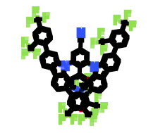 N#Cc1cc(-n2c3cc(-c4ccc(C(F)(F)F)cc4C(F)(F)F)ccc3c3ccc(-c4ccc(C(F)(F)F)cc4C(F)(F)F)cc32)c(-c2ccncc2)c(-n2c3cc(-c4ccc(C(F)(F)F)cc4C(F)(F)F)ccc3c3ccc(-c4ccc(C(F)(F)F)cc4C(F)(F)F)cc32)c1